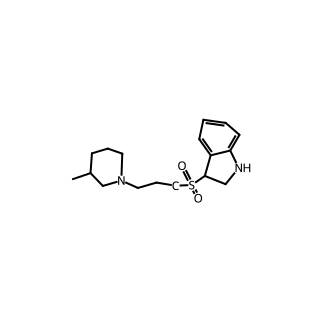 CC1CCCN(CCCS(=O)(=O)C2CNc3ccccc32)C1